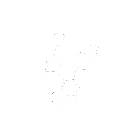 O=C1NCc2ccc(-c3cc4cn[nH]c4cc3-n3nc(C(F)(F)F)cc3-c3nccs3)cc21